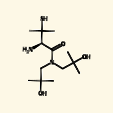 CC(C)(O)CN(CC(C)(C)O)C(=O)[C@@H](N)C(C)(C)S